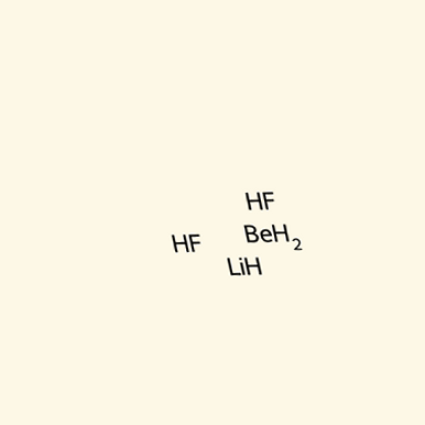 F.F.[BeH2].[LiH]